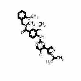 COc1ccccc1CN(C)C(=O)c1ccc(Nc2ncc(Cl)c(-c3cnn(C(C)C)c3)n2)c(OC)c1